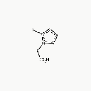 O=C(O)Cn1cncc1I